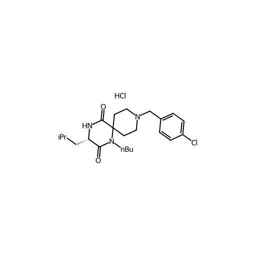 CCCCN1C(=O)[C@H](CC(C)C)NC(=O)C12CCN(Cc1ccc(Cl)cc1)CC2.Cl